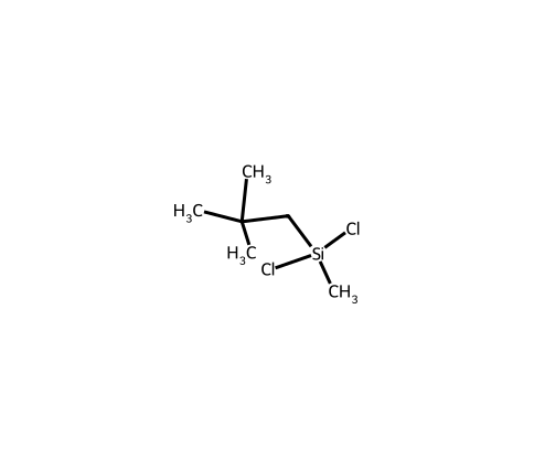 CC(C)(C)C[Si](C)(Cl)Cl